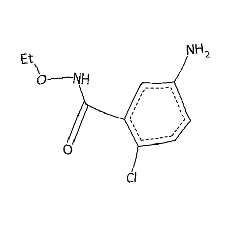 CCONC(=O)c1cc(N)ccc1Cl